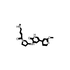 CNC/C=C/C(=O)N1CCC(Nc2cc(-c3ccnc(OC)c3)c[nH]c2=O)C1